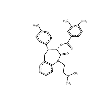 COc1ccc([C@H]2Sc3ccccc3N(CCN(C)C)C(=O)[C@H]2OC(=O)c2ccc([N+](=O)[O-])c(C)c2)cc1